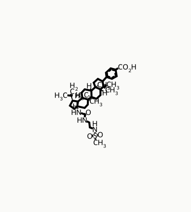 C=C(C)[C@@H]1CC[C@]2(NC(=O)NCCNS(C)(=O)=O)CC[C@]3(C)[C@H](CC[C@@H]4[C@@]5(C)CCC(c6ccc(C(=O)O)cc6)C(C)(C)[C@@H]5CC[C@]43C)[C@@H]12